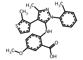 COc1ccc(Nc2c(-c3ccsc3C)c(C)nn2-c2ccccc2C)c(C(=O)O)c1